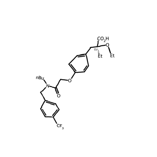 CCCCN(Cc1ccc(C(F)(F)F)cc1)C(=O)COc1ccc(C[C@](CC)(OCC)C(=O)O)cc1